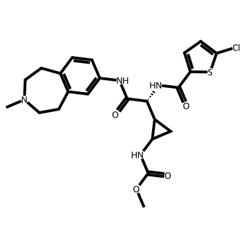 COC(=O)NC1CC1[C@@H](NC(=O)c1ccc(Cl)s1)C(=O)Nc1ccc2c(c1)CCN(C)CC2